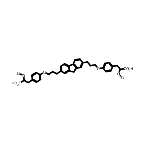 CCOC(Cc1ccc(OCCCc2ccc3c(c2)Cc2cc(CCCOc4ccc(CC(OCC)C(=O)O)cc4)ccc2-3)cc1)C(=O)O